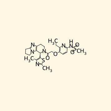 CCc1nc(NS(C)(=O)=O)ccc1OCC(=O)N1CCc2nc3n(c2[C@@H]1c1sc(C)nc1C)CCC3